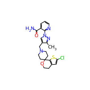 Cc1nn(-c2ncccc2C(N)=O)cc1CN1CCC2(CC1)OCCc1cc(Cl)sc12